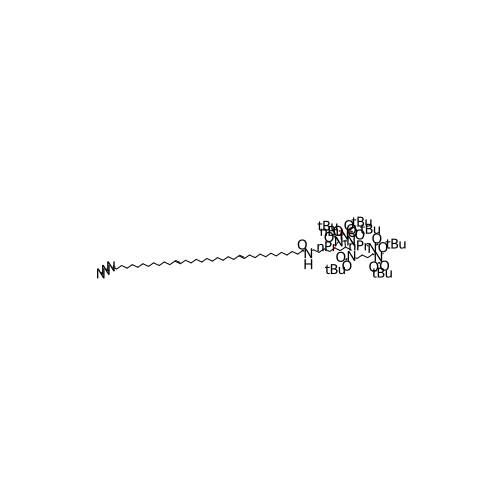 CCCCN(C(=O)OC(C)(C)C)C(C(CCCCCCNC(=O)CCCCCCCCCCC=CCCCCCCCCCCC=CCCCCCCCCCCCN=[N+]=[N-])CN(CCCC(N(C)C(=O)OC(C)(C)C)N(CCC)C(=O)OC(C)(C)C)C(=O)OC(C)(C)C)(N(C)C(=O)OC(C)(C)C)N(CCC)C(=O)OC(C)(C)C